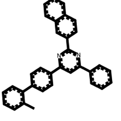 Cc1ccccc1-c1ccc(-c2cc(-c3ccccc3)nc(-c3ccc4ccccc4c3)n2)cc1